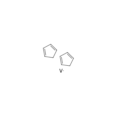 C1=CCC=C1.C1=CCC=C1.[V]